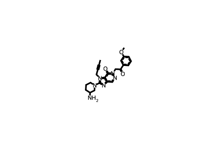 CC#CCn1c(N2CCCC(N)C2)nc2cnn(CC(=O)c3cccc(OC)c3)c(=O)c21